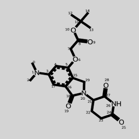 CN(C)c1cc(OCC(=O)OC(C)(C)C)c2c(c1)C(=O)N(C1CCC(=O)NC1=O)C2